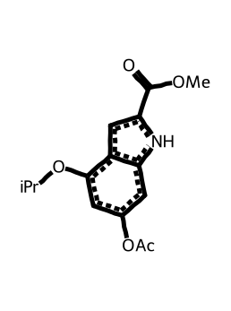 COC(=O)c1cc2c(OC(C)C)cc(OC(C)=O)cc2[nH]1